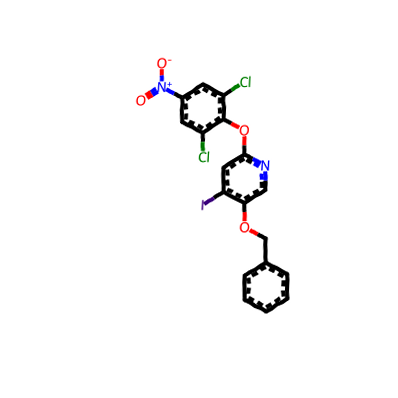 O=[N+]([O-])c1cc(Cl)c(Oc2cc(I)c(OCc3ccccc3)cn2)c(Cl)c1